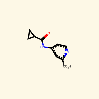 O=C(O)c1cc(NC(=O)C2CC2)ccn1